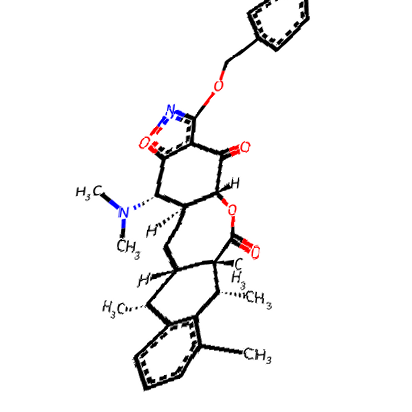 Cc1cccc2c1[C@@H](C)[C@@]1(C)C(=O)O[C@H]3C(=O)c4c(OCc5ccccc5)noc4[C@@H](N(C)C)[C@@H]3C[C@H]1[C@H]2C